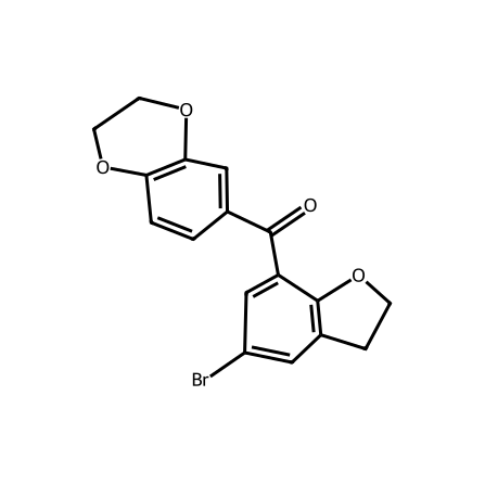 O=C(c1ccc2c(c1)OCCO2)c1cc(Br)cc2c1OCC2